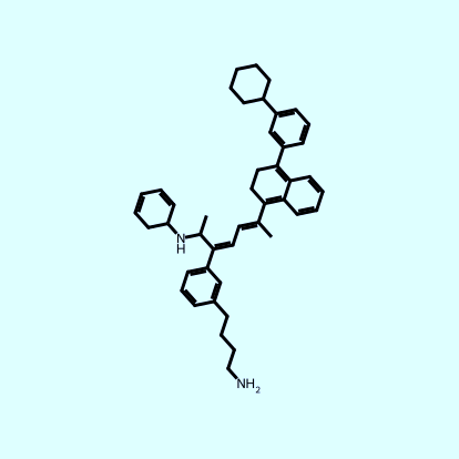 C/C(=C\C=C(\c1cccc(CCCCN)c1)C(C)NC1C=CC=CC1)C1=c2ccccc2=C(c2cccc(C3CCCCC3)c2)CC1